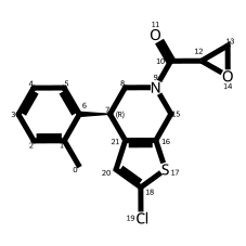 Cc1ccccc1[C@H]1CN(C(=O)C2CO2)Cc2sc(Cl)cc21